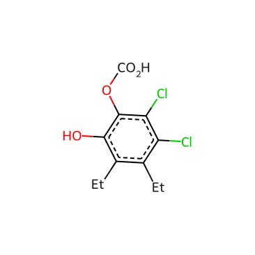 CCc1c(O)c(OC(=O)O)c(Cl)c(Cl)c1CC